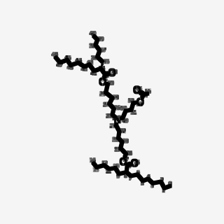 CCCCCCCCC(CCCCCC)C(=O)OCCCCCCN(CCCCCCOC(=O)[C@@H](CCCCCC)CCCCCCCC)CCCCOC(C)=O